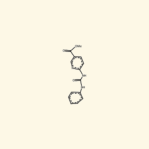 COC(=O)c1ccc(NC(=O)Nc2ccccc2)nc1